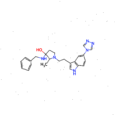 CC1N(CCc2c[nH]c3ccc(-n4cnnc4)cc23)CCC1(O)NCc1ccccc1